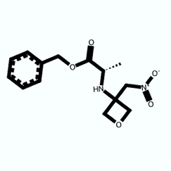 C[C@H](NC1(C[N+](=O)[O-])COC1)C(=O)OCc1ccccc1